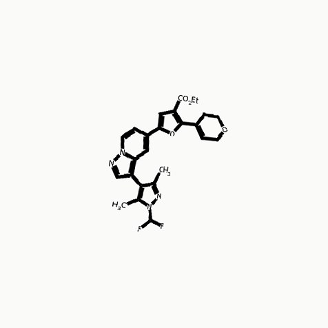 CCOC(=O)c1cc(-c2ccn3ncc(-c4c(C)nn(C(F)F)c4C)c3c2)oc1C1=CCOCC1